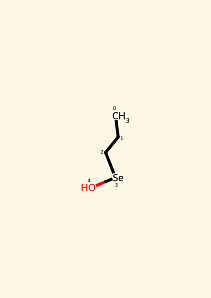 CCC[Se]O